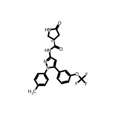 Cc1ccc(-n2nc(NC(=O)[C@H]3CNC(=O)C3)cc2-c2cccc(OC(F)(F)F)c2)cc1